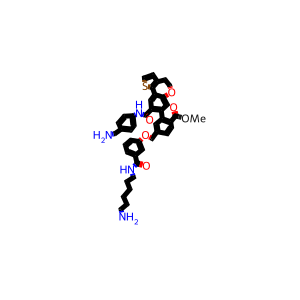 COC(=O)c1ccc(COc2cccc(C(=O)NCCCCCCN)c2)cc1-c1cc2c(cc1C(=O)Nc1ccc(CN)cc1)-c1sccc1CCO2